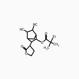 [C-]#[N+]C1C(C#N)C2CC1C(OC(=O)C(C)(C)CC)C2C1CCOC1=O